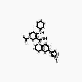 CC(=O)N1CCC(NC2CCCCC2)=C(C(=N)N2CCCC3=C2C=CC(c2cnn(C)c2)C3)C1